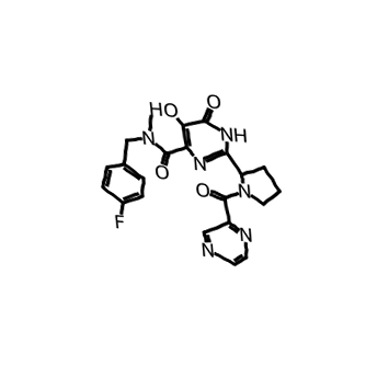 CN(Cc1ccc(F)cc1)C(=O)c1nc(C2CCCN2C(=O)c2cnccn2)[nH]c(=O)c1O